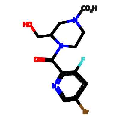 O=C(O)N1CCN(C(=O)c2ncc(Br)cc2F)C(CO)C1